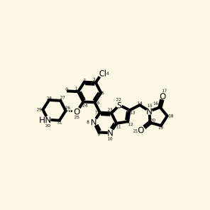 Cc1cc(Cl)cc(-c2ncnc3cc(CN4C(=O)CCC4=O)sc23)c1O[C@H]1CCCNC1